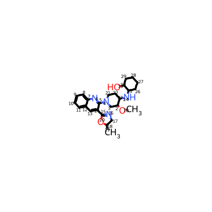 COC1CN(c2nc3ccccc3cc2C2=NCC(C)O2)CCC1NC1CCCCC1O